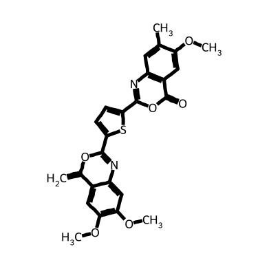 C=C1OC(c2ccc(-c3nc4cc(C)c(OC)cc4c(=O)o3)s2)=Nc2cc(OC)c(OC)cc21